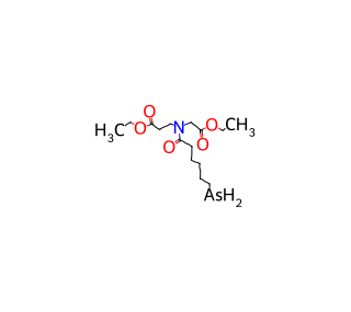 CCOC(=O)CCN(CC(=O)OCC)C(=O)CCCCC[AsH2]